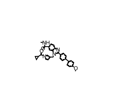 CNC(=O)c1ccc2nc(-c3ccc(-c4ccc(OC)cc4)cc3)n(Cc3ccn(C(=O)C4CC4)c3)c2c1